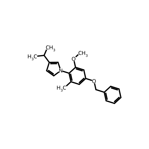 COc1cc(OCc2ccccc2)cc(C)c1-n1ccc(C(C)C)c1